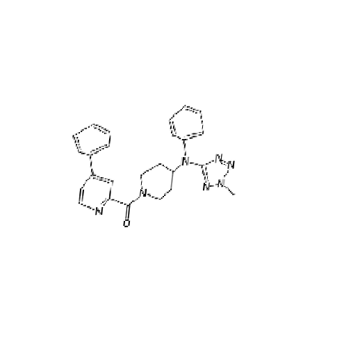 Cn1nnc(N(c2ccccc2)C2CCN(C(=O)c3cc(-c4ccccc4)ccn3)CC2)n1